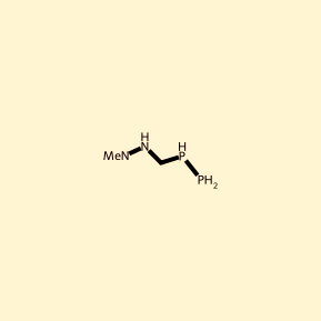 CNNCPP